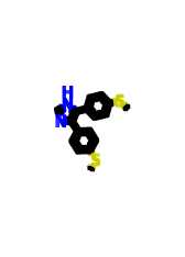 CSc1ccc(-c2nc[nH]c2-c2ccc(SC)cc2)cc1